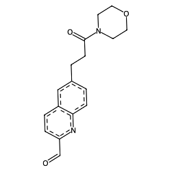 O=Cc1ccc2cc(CCC(=O)N3CCOCC3)ccc2n1